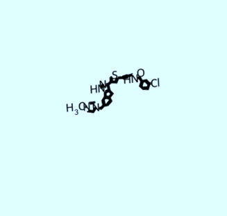 CN1CCN(Cc2ccc3c(c2)-c2[nH]nc(-c4csc(C#CCNC(=O)c5cccc(Cl)c5)c4)c2C3)CC1